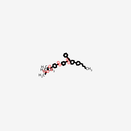 C=CC(=O)OC(C)(C)C(C)OC(=O)C1CCC(C(=O)Oc2ccc(C(=O)OC3(C#Cc4ccccc4)CCC(C4CCC(CCCCC)CC4)CC3)cc2)CC1